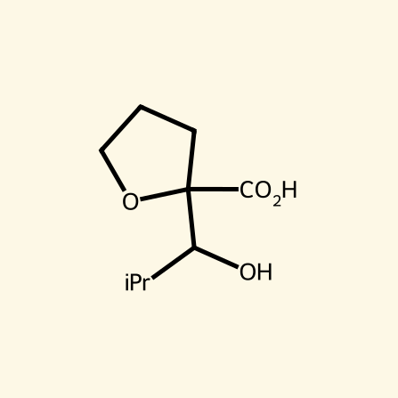 CC(C)C(O)C1(C(=O)O)CCCO1